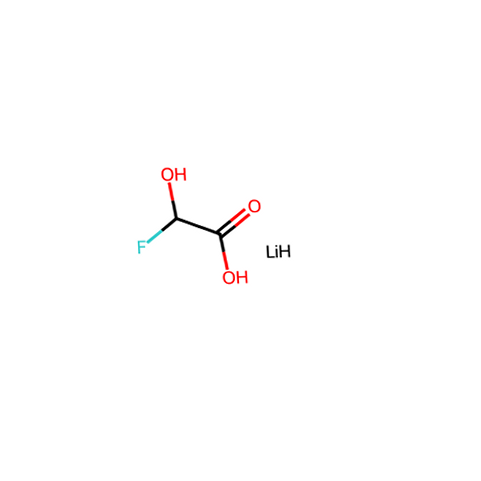 O=C(O)C(O)F.[LiH]